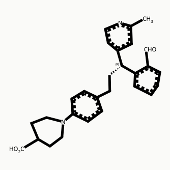 Cc1cc([C@@H](CCc2ccc(N3CCC(C(=O)O)CC3)cc2)c2ccccc2C=O)ccn1